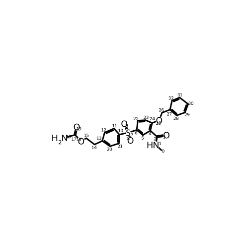 CNC(=O)c1cc(S(=O)(=O)c2ccc(CCOC(N)=O)cc2)ccc1OCc1ccccc1